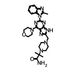 Cc1nc2ccccc2n1-c1nc(N2CCOCC2)c2nc(CN3CCN(C(C)(C)C(N)=O)CC3)[nH]c2n1